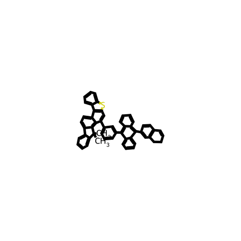 CC1(C)c2ccccc2-c2ccc3c(c(-c4cccc(-c5c6ccccc6c(-c6ccc7c(c6)CCC=C7)c6ccccc56)c4)cc4sc5ccccc5c43)c21